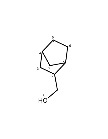 OCC1CC2[CH]CC1C2